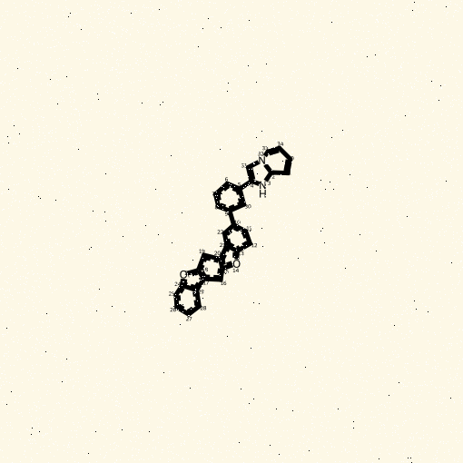 C1=CC2NC(c3cccc(-c4ccc5oc6cc7c(cc6c5c4)oc4ccccc47)c3)=CN2C=C1